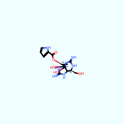 N=C1NC2[C@H](CO)NC(=N)N3C[C@H](OC(=O)c4ccc[nH]4)C(O)(O)[C@]23N1